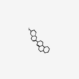 IC1CCC2CC(C3C=C4CCC5CCCCC5C4CC3)=CCC2C1